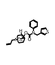 C=CC[N+]12CCC(CC1)[C@@H](OC(=O)N(Cc1ccsc1)c1ccccc1)C2